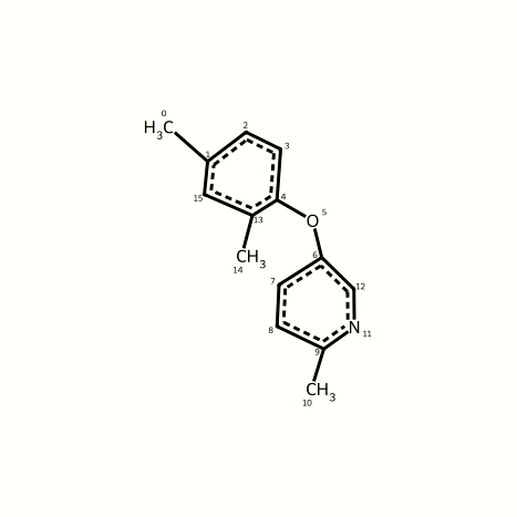 Cc1ccc(Oc2ccc(C)nc2)c(C)c1